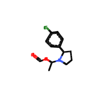 CC(OC=O)N1CCCC1c1ccc(Cl)cc1